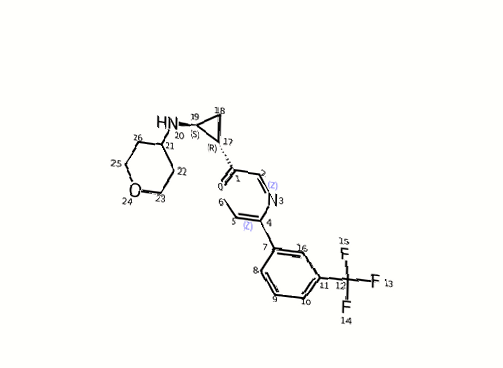 C=C(/C=N\C(=C/C)c1cccc(C(F)(F)F)c1)[C@H]1C[C@@H]1NC1CCOCC1